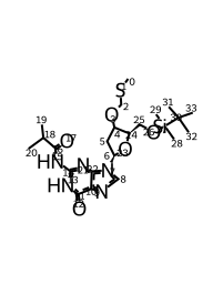 CSCOC1C[C@H](n2cnc3c(=O)[nH]c(NC(=O)C(C)C)nc32)O[C@@H]1CO[Si](C)(C)C(C)(C)C